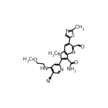 COCCNc1cc(-c2c(C(N)=O)c3nc(C=O)c(-c4cnc(C)s4)cc3n2C)ncc1C#N